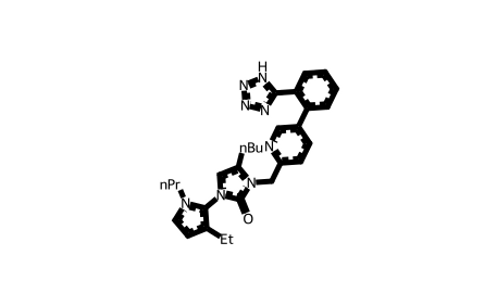 CCCCc1cn(-c2c(CC)ccn2CCC)c(=O)n1Cc1ccc(-c2ccccc2-c2nnn[nH]2)cn1